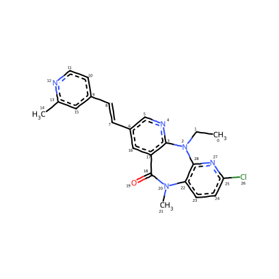 CCN1c2ncc(C=Cc3ccnc(C)c3)cc2C(=O)N(C)c2ccc(Cl)nc21